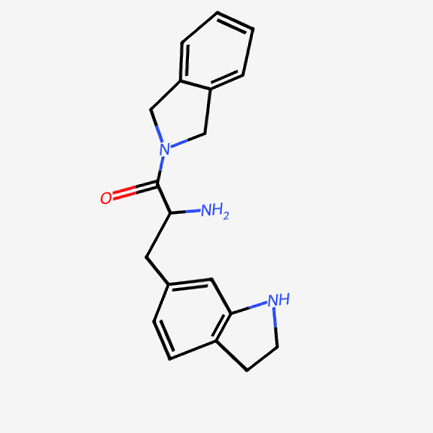 NC(Cc1ccc2c(c1)NCC2)C(=O)N1Cc2ccccc2C1